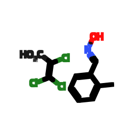 Cc1ccccc1C=NO.O=C(O)C(Cl)=C(Cl)Cl